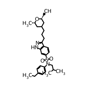 C#C[C@H]1CC(CCCc2n[nH]c3cc(S(=O)(=O)N(CC(C)C)c4ccc(CC)cc4)ccc23)C[C@@H](C)O1